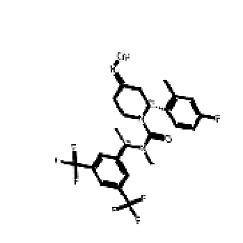 Cc1cc(F)ccc1[C@H]1CC(=NO)CCN1C(=O)N(C)[C@H](C)c1cc(C(F)(F)F)cc(C(F)(F)F)c1